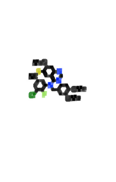 COc1ccc(CN(c2cccc(Cl)c2F)c2ncnc3cc(OC)c(SC#N)cc23)cc1OC